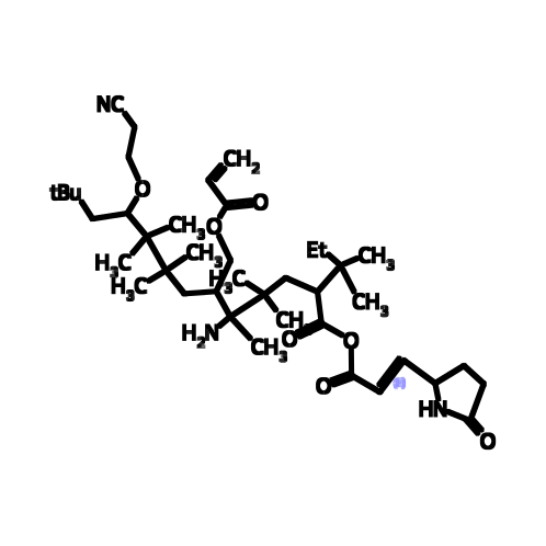 C=CC(=O)OCC(CC(C)(C)C(C)(C)C(CC(C)(C)C)OCCC#N)C(C)(N)C(C)(C)CC(C(=O)OC(=O)/C=C/C1CCC(=O)N1)C(C)(C)CC